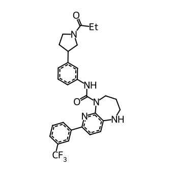 CCC(=O)N1CCC(c2cccc(NC(=O)N3CCCNc4ccc(-c5cccc(C(F)(F)F)c5)nc43)c2)C1